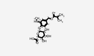 CNc1cc(COC(=O)C(C)C)ccc1O[C@H]1O[C@@H](C(=O)O)[C@H](O)[C@@H](O)[C@@H]1O